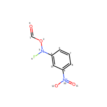 O=CON(F)c1cccc([N+](=O)[O-])c1